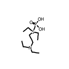 CCN(CC)CCS(CC)(CC)P(=O)(O)O